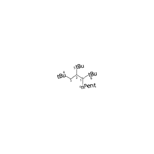 CCCCC[C](C(CC(C)(C)C)C(C)(C)C)C(C)(C)C